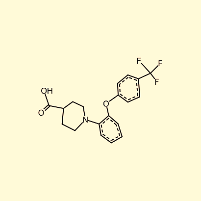 O=C(O)C1CCN(c2ccccc2Oc2ccc(C(F)(F)F)cc2)CC1